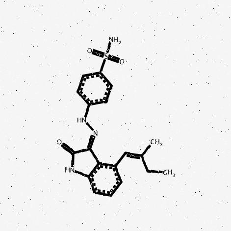 CCC(C)=Cc1cccc2c1C(=NNc1ccc(S(N)(=O)=O)cc1)C(=O)N2